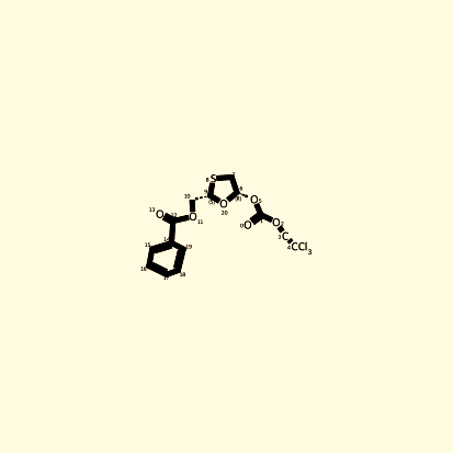 O=C(OCC(Cl)(Cl)Cl)O[C@H]1CS[C@@H](COC(=O)c2ccccc2)O1